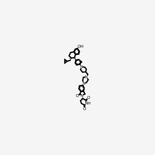 O=C1CC[C@H](N2Cc3cc(N4CCN(CC5CCN(c6ccc([C@@H]7c8ccc(O)cc8CC[C@@H]7CC7CC7)cc6)CC5)CC4)ccc3C2=O)C(=O)N1